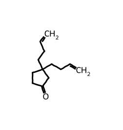 C=CCCC1(CCC=C)CCC(=O)C1